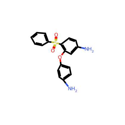 Nc1ccc(Oc2cc(N)ccc2S(=O)(=O)c2ccccc2)cc1